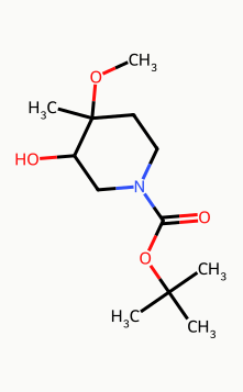 COC1(C)CCN(C(=O)OC(C)(C)C)CC1O